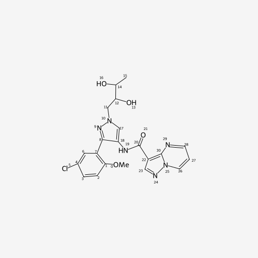 COc1ccc(Cl)cc1-c1nn(CC(O)C(C)O)cc1NC(=O)c1cnn2cccnc12